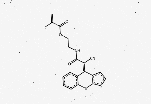 C=C(C)C(=O)OCCNC(=O)C(C#N)=C1c2ccccc2Sc2sccc21